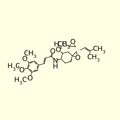 COc1cc(/C=C/C(=O)N[C@@H]2CC[C@]3(CO3)[C@@H](C3(C)O[C@@H]3CC=C(C)C)[C@@H]2OC)cc(OC)c1OC